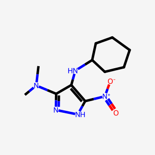 CN(C)c1n[nH]c([N+](=O)[O-])c1NC1CCCCC1